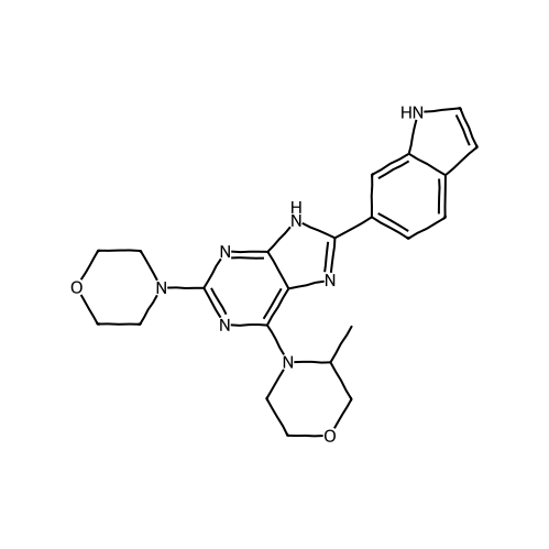 CC1COCCN1c1nc(N2CCOCC2)nc2[nH]c(-c3ccc4cc[nH]c4c3)nc12